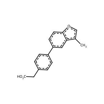 Cc1coc2ccc(-c3ccc(CC(=O)O)cc3)cc12